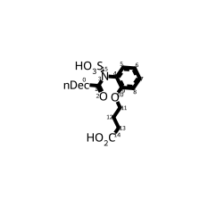 CCCCCCCCCCC(=O)N(c1ccccc1OCCCC(=O)O)S(=O)(=O)O